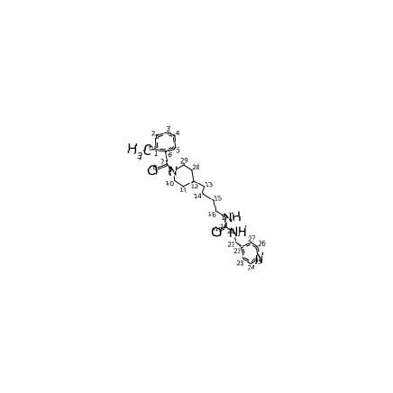 Cc1ccccc1C(=O)N1CCC(CCCCNC(=O)NCc2ccncc2)CC1